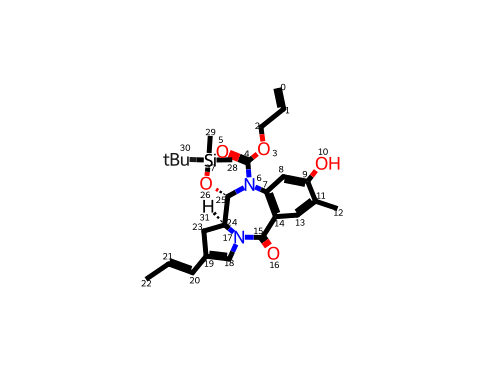 C=CCOC(=O)N1c2cc(O)c(C)cc2C(=O)N2C=C(/C=C/C)C[C@H]2[C@@H]1O[Si](C)(C)C(C)(C)C